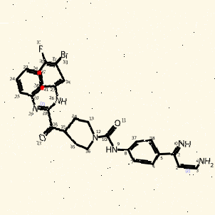 N=C(/C=C\N)c1ccc(NC(=O)N2CCC(C(=O)/C(=N/c3ccccc3)Nc3ccc(F)c(Br)c3)CC2)cc1